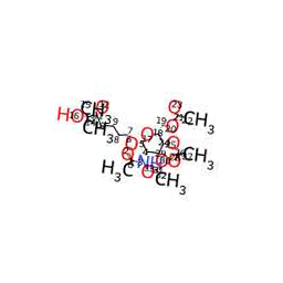 CC(=O)N[C@H]1[C@H](OCCCCC(=O)C(C)(C)O)O[C@H](COC(C)=O)[C@H](OC(C)=O)[C@@H]1OC(C)=O